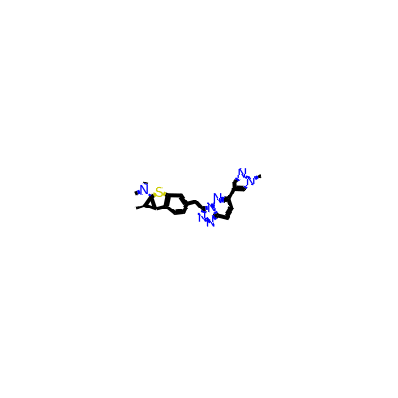 C[C@@H]1C2c3ccc(Cc4nnc5ccc(-c6cnn(C)c6)nn45)cc3S[C@]21N(C)C